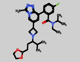 CCN(C(=O)c1cc(F)ccc1-c1cc(C2CN(C(CCC3OCCO3)C(C)C)C2)cn2c(C)nnc12)C(C)C